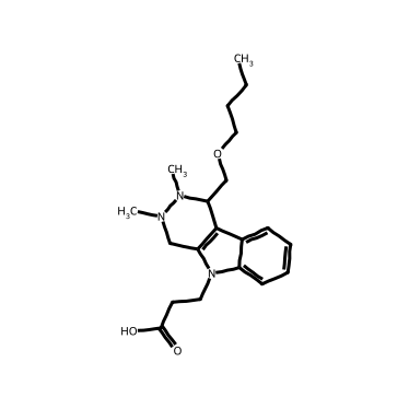 CCCCOCC1c2c(n(CCC(=O)O)c3ccccc23)CN(C)N1C